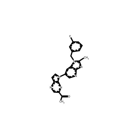 CC(=O)c1cnc2ccn(-c3cnc4nc(C)n(Cc5cccc(F)c5)c4c3)c2n1